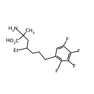 CCC(CCCc1cc(F)c(F)c(F)c1F)CC(C)(N)C(=O)O